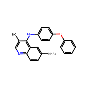 CC(=O)Nc1ccc2ncc(C#N)c(Nc3ccc(Oc4ccccc4)cc3)c2c1